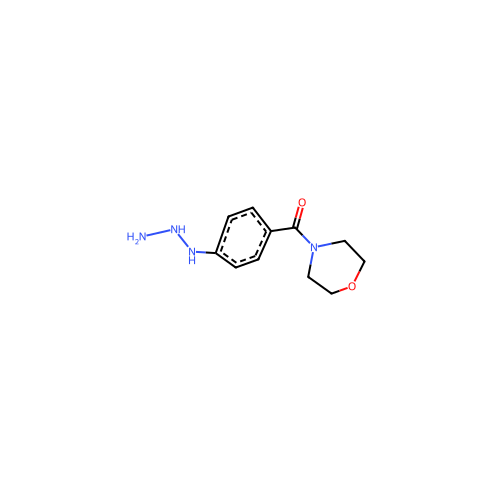 NNNc1ccc(C(=O)N2CCOCC2)cc1